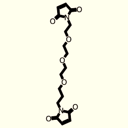 O=C1C=CC(=O)N1CCCOCCOCCOCCN1C(=O)C=CC1=O